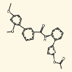 COc1ccc(-c2cccc(C(=O)Nc3ccccc3-c3ccc(OC(C)=O)s3)c2)c(OC)c1